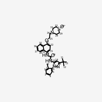 Cc1ccccc1-n1nc(C(C)(C)C)cc1NC(=O)Nc1ccc(OCCN2CC[S+]([O-])CC2)c2ccccc12